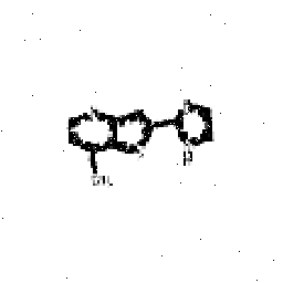 Oc1ccnc2cc(-c3ncc[nH]3)sc12